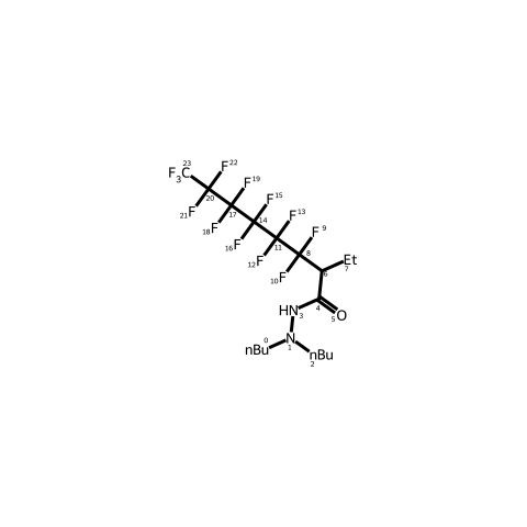 CCCCN(CCCC)NC(=O)C(CC)C(F)(F)C(F)(F)C(F)(F)C(F)(F)C(F)(F)C(F)(F)F